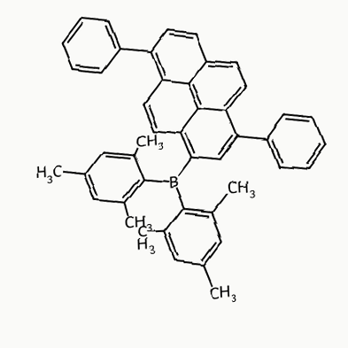 Cc1cc(C)c(B(c2c(C)cc(C)cc2C)c2cc(-c3ccccc3)c3ccc4ccc(-c5ccccc5)c5ccc2c3c45)c(C)c1